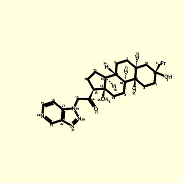 CC(C)[C@@]1(O)CC[C@H]2[C@@H](CC[C@@H]3[C@@H]2CC[C@]2(C)[C@@H](C(=O)Cn4nnc5cnccc54)CC[C@@H]32)C1